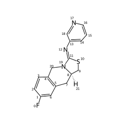 Fc1ccc2c(c1)C[C@@H]1CSC(=Nc3cccnc3)N1C2